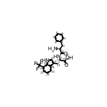 N[C@@H](Cc1ccccc1)C(=O)N[C@@H](Cc1c[nH]c2c(C(F)(F)F)cccc12)C(=O)O